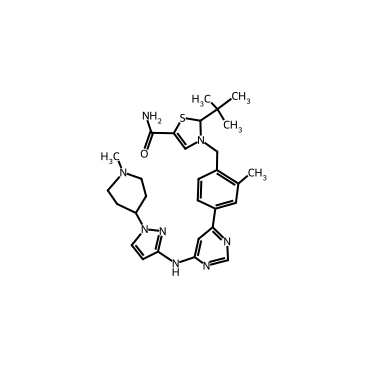 Cc1cc(-c2cc(Nc3ccn(C4CCN(C)CC4)n3)ncn2)ccc1CN1C=C(C(N)=O)SC1C(C)(C)C